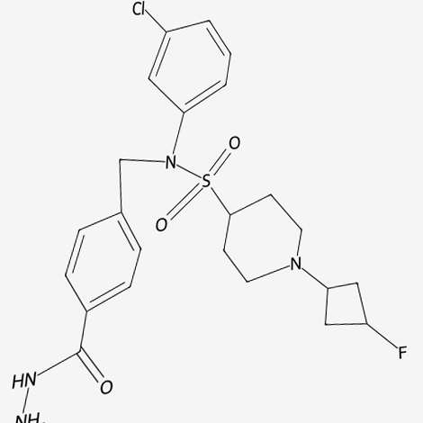 NNC(=O)c1ccc(CN(c2cccc(Cl)c2)S(=O)(=O)C2CCN(C3CC(F)C3)CC2)cc1